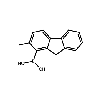 Cc1ccc2c(c1B(O)O)Cc1ccccc1-2